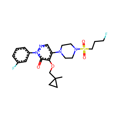 CC1(COc2c(N3CCN(S(=O)(=O)CCCF)CC3)cnn(-c3cccc(F)c3)c2=O)CC1